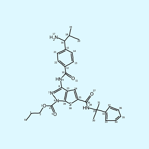 CCCOC(=O)n1nc(NC(=O)c2ccc(C(N)C(C)C)cc2)c2cc(C(=O)NC(C)(C)c3ccccc3)sc21